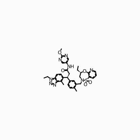 CC[C@@H]1CN(Cc2cc([C@H](CC(=O)Nc3cnc(OC)nc3)c3ccc4c(nnn4CC)c3C)ccc2C)S(=O)(=O)c2cccnc2O1